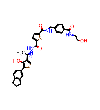 C/C(=N\NC(=O)c1ccc(C(=O)NCc2ccc(C(=O)NCCO)cc2)s1)c1csc(-c2ccc3c(c2)CCC3)c1O